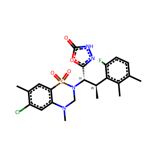 Cc1cc2c(cc1Cl)N(C)CN([C@H](c1n[nH]c(=O)o1)[C@H](C)c1c(F)ccc(C)c1C)S2(=O)=O